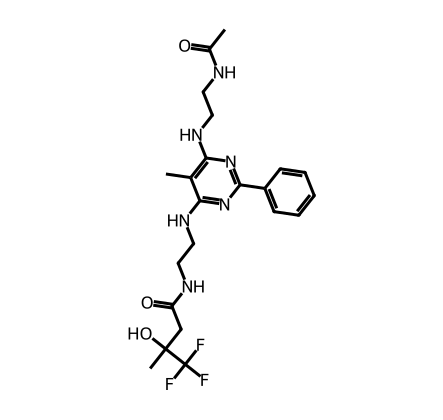 CC(=O)NCCNc1nc(-c2ccccc2)nc(NCCNC(=O)CC(C)(O)C(F)(F)F)c1C